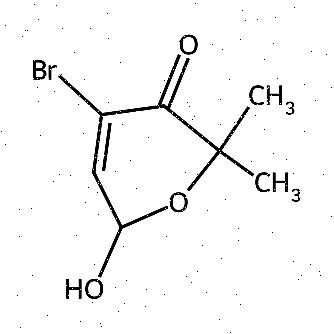 CC1(C)OC(O)C=C(Br)C1=O